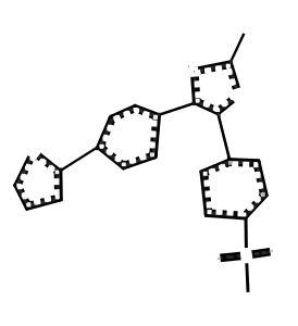 Cc1nc(-c2ccc(-c3ccco3)cc2)c(-c2ccc(S(C)(=O)=O)cc2)o1